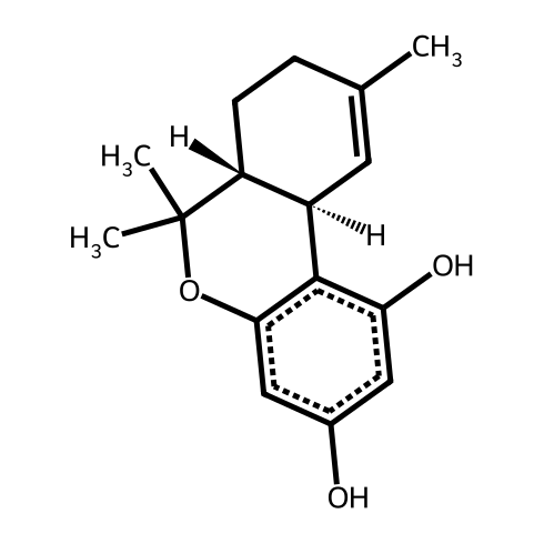 CC1=C[C@H]2c3c(O)cc(O)cc3OC(C)(C)[C@@H]2CC1